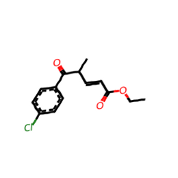 CCOC(=O)C=CC(C)C(=O)c1ccc(Cl)cc1